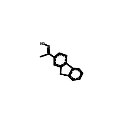 C/C(=N\O)c1ccc2c(c1)Cc1ccccc1-2